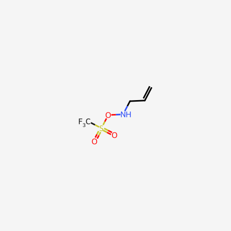 C=CCNOS(=O)(=O)C(F)(F)F